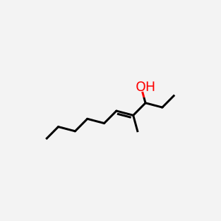 CCCCC/C=C(\C)C(O)CC